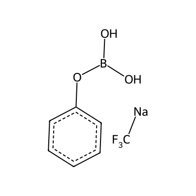 F[C](F)(F)[Na].OB(O)Oc1ccccc1